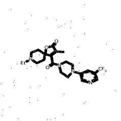 CCN1CCC2(CC1)OC(=O)C(C)=C2C(=O)N1CCN(c2cncc(C(F)(F)F)c2)CC1